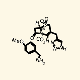 COc1ccc(CN)cc1.O=C(O)C1=C(Cc2c[nH]nn2)CS(=O)(=O)[C@H]2CC(=O)N12